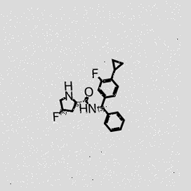 O=C(N[C@@H](c1ccccc1)c1ccc(C2CC2)c(F)c1)[C@@H]1C[C@@H](F)CN1